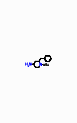 CCCCN1CCC(N)CC1Cc1ccccc1